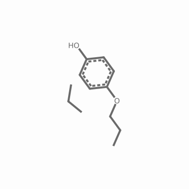 CCC.CCCOc1ccc(O)cc1